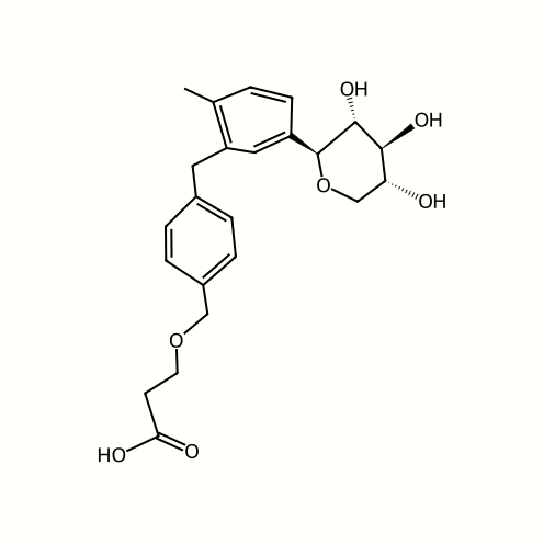 Cc1ccc([C@@H]2OC[C@@H](O)[C@H](O)[C@H]2O)cc1Cc1ccc(COCCC(=O)O)cc1